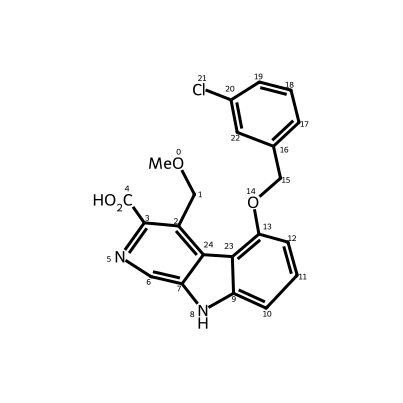 COCc1c(C(=O)O)ncc2[nH]c3cccc(OCc4cccc(Cl)c4)c3c12